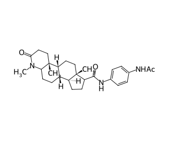 CC(=O)Nc1ccc(NC(=O)C2CC[C@H]3[C@@H]4CCC5N(C)C(=O)CC[C@]5(C)[C@@H]4CC[C@]23C)cc1